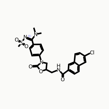 CN(C)/C(=N/S(C)(=O)=O)c1ccc(N2CC(CNC(=O)c3ccc4cc(Cl)ccc4c3)OC2=O)cc1